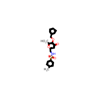 Cc1ccc(S(=O)(=O)NCc2cc(=O)c(OCc3ccccc3)c(C(=O)O)o2)cc1